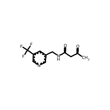 CC(=O)CC(=O)NCc1cncc(C(F)(F)F)c1